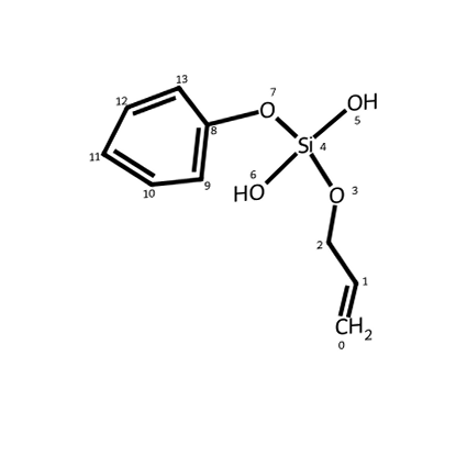 C=CCO[Si](O)(O)Oc1ccccc1